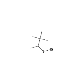 [CH2]CSC(C)C(C)(C)C